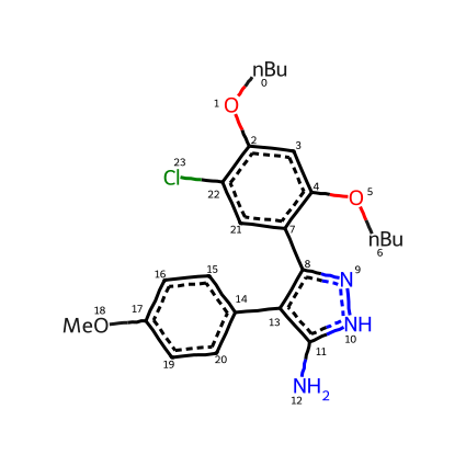 CCCCOc1cc(OCCCC)c(-c2n[nH]c(N)c2-c2ccc(OC)cc2)cc1Cl